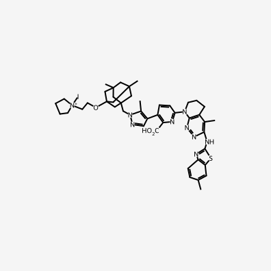 Cc1ccc2nc(Nc3nnc4c(c3C)CCCN4c3ccc(-c4cnn(CC56CC7(C)CC(C)(C5)CC(OCC[N+]5(I)CCCC5)(C7)C6)c4C)c(C(=O)O)n3)sc2c1